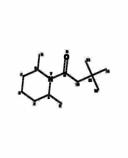 CC1CCCC(C)N1C(=O)CC(C)(C)C